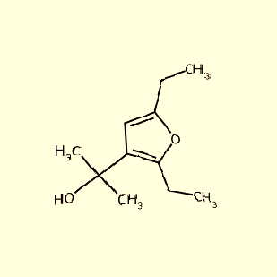 CCc1cc(C(C)(C)O)c(CC)o1